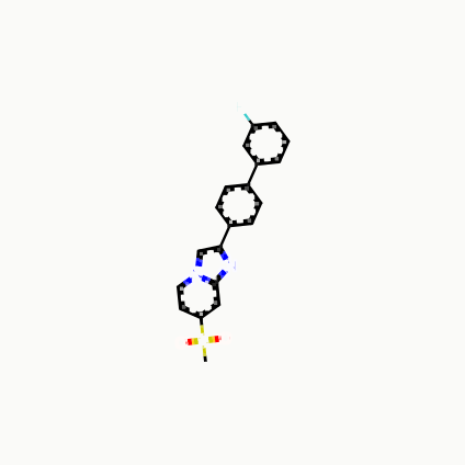 CS(=O)(=O)c1ccn2cc(-c3ccc(-c4cccc(F)c4)cc3)nc2c1